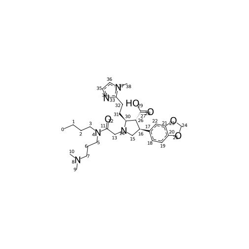 CCCCN(CCCN(C)C)C(=O)CN1C[C@H](c2ccc3c(c2)OCO3)[C@@H](C(=O)O)[C@@H]1CCc1nccn1C